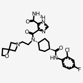 NC(=O)c1[nH]cnc1C(=O)N(CCN1CC2(CCO2)C1)[C@H]1CC[C@H](C(=O)Nc2ccc(F)cc2Cl)CC1